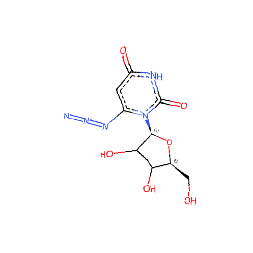 [N-]=[N+]=Nc1cc(=O)[nH]c(=O)n1[C@H]1O[C@@H](CO)C(O)C1O